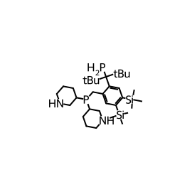 CC(C)(C)C(P)(c1cc([Si](C)(C)C)c([Si](C)(C)C)cc1CP(C1CCCNC1)C1CCCNC1)C(C)(C)C